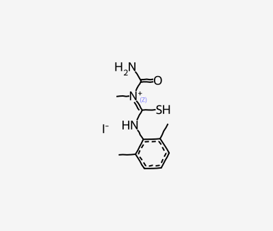 Cc1cccc(C)c1N/C(S)=[N+](\C)C(N)=O.[I-]